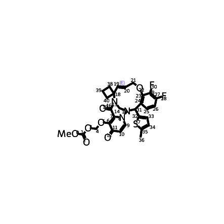 COC(=O)OCOc1c2n(ccc1=O)N1CN(C2=O)C2(/C=C/COc3c(ccc(F)c3F)C1c1ccc(C)s1)CCC2